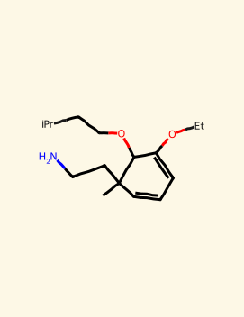 CCOC1=CC=CC(C)(CCN)C1OCCC(C)C